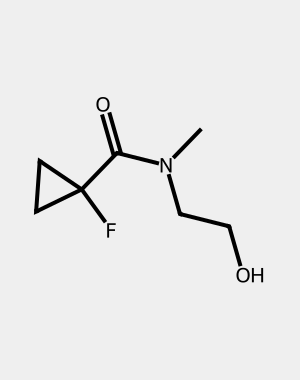 CN(CCO)C(=O)C1(F)CC1